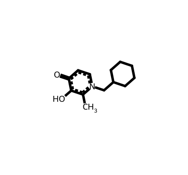 Cc1c(O)c(=O)ccn1CC1CCCCC1